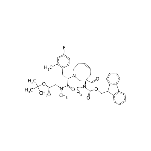 Cc1cc(F)ccc1C[C@@H](C(=O)N(C)CC(=O)OC(C)(C)C)N1CC/C=C\C[C@@](C=O)(N(C)C(=O)OCC2c3ccccc3-c3ccccc32)C1